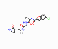 CC(C)[C@H](NC(=O)c1cc2cc(Cl)ccc2o1)C(=O)NCC(=O)N[C@H](C=O)C[C@@H]1CCNC1=O